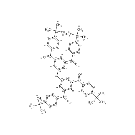 CC(C)(C)c1ccc(C(=O)c2nc(Cc3nc(C(=O)c4ccc(C(C)(C)C)cc4)nc(C(=O)c4ccc(C(C)(C)C)cc4)n3)nc(C(=O)c3ccc(C(C)(C)C)cc3)n2)cc1